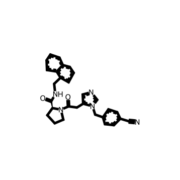 N#Cc1ccc(Cn2cncc2CC(=O)N2CCC[C@H]2C(=O)NCc2cccc3ccccc23)cc1